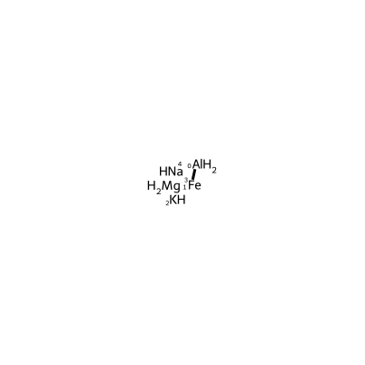 [AlH2][Fe].[KH].[MgH2].[NaH]